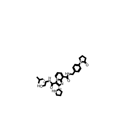 CC(C)C[C@@H](CO)NC(=O)c1c([C@@H]2CCCN2)nc2c(C(=O)NCc3ccc(N4CCCC4=O)cc3)cccn12